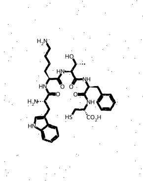 C[C@@H](O)[C@H](NC(=O)[C@H](CCCCN)NC(=O)[C@@H](N)Cc1c[nH]c2ccccc12)C(=O)N[C@@H](Cc1ccccc1)C(=O)N[C@@H](CS)C(=O)O